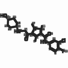 Cc1c(C(=O)Nc2ccc(F)c(Cl)c2)c(C)n(C)c1C(=O)CN[C@H]1CC[C@@H](O)CC1